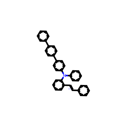 C(=C\c1ccccc1N(c1ccccc1)c1ccc(-c2ccc(-c3ccccc3)cc2)cc1)/c1ccccc1